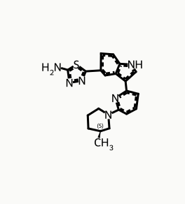 C[C@H]1CCCN(c2cccc(-c3c[nH]c4ccc(-c5nnc(N)s5)cc34)n2)C1